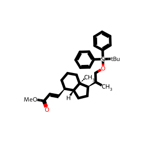 COC(=O)/C=C/[C@H]1CCC[C@@]2(C)[C@@H](C(C)CO[Si](c3ccccc3)(c3ccccc3)C(C)(C)C)CC[C@H]12